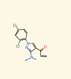 C=CC(=O)c1cn(-c2ccc(Cl)cc2Cl)nc1N(C)C